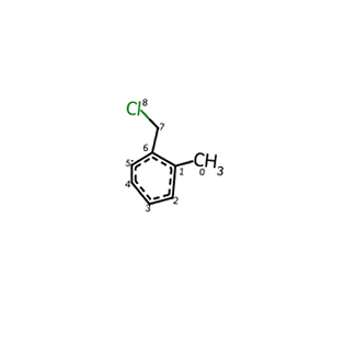 Cc1ccc[c]c1CCl